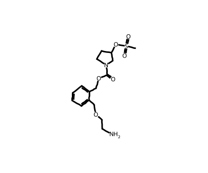 CS(=O)(=O)OC1CCN(C(=O)OCc2ccccc2COCCN)C1